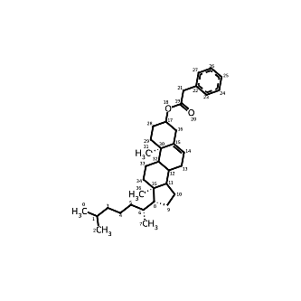 CC(C)CCC[C@@H](C)[C@H]1CCC2C3CC=C4CC(OC(=O)Cc5ccccc5)CC[C@]4(C)C3CC[C@@]21C